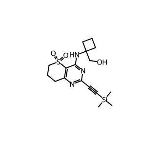 C[Si](C)(C)C#Cc1nc2c(c(NC3(CO)CCC3)n1)S(=O)(=O)CCC2